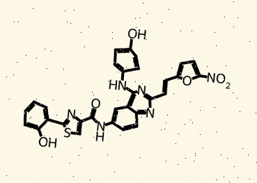 O=C(Nc1ccc2nc(/C=C/c3ccc([N+](=O)[O-])o3)nc(Nc3ccc(O)cc3)c2c1)c1csc(-c2ccccc2O)n1